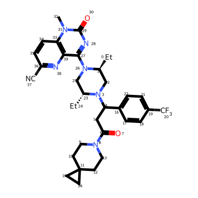 CC[C@H]1CN(C(CC(=O)N2CCC3(CC2)CC3)c2ccc(C(F)(F)F)cc2)[C@H](CC)CN1c1nc(=O)n(C)c2ccc(C#N)nc12